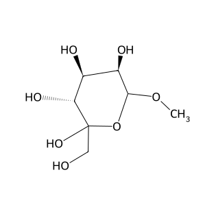 COC1OC(O)(CO)[C@H](O)[C@@H](O)[C@H]1O